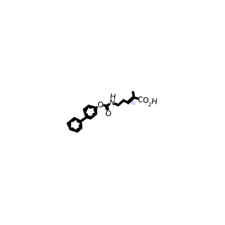 C/C(=C\CCNC(=O)Oc1ccc(-c2ccccc2)cc1)C(=O)O